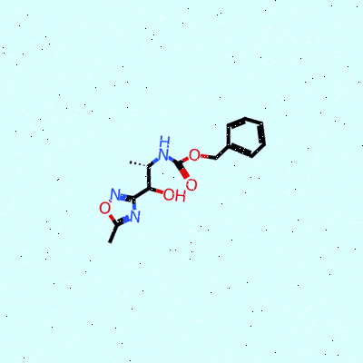 Cc1nc(C(O)[C@H](C)NC(=O)OCc2ccccc2)no1